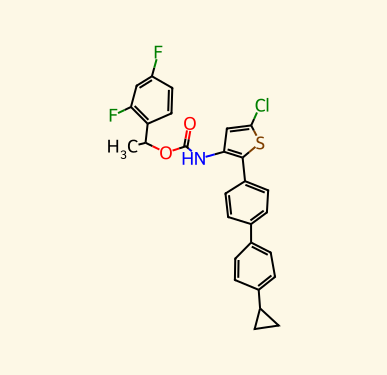 CC(OC(=O)Nc1cc(Cl)sc1-c1ccc(-c2ccc(C3CC3)cc2)cc1)c1ccc(F)cc1F